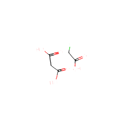 O=C(O)CC(=O)O.O=C(O)CCl